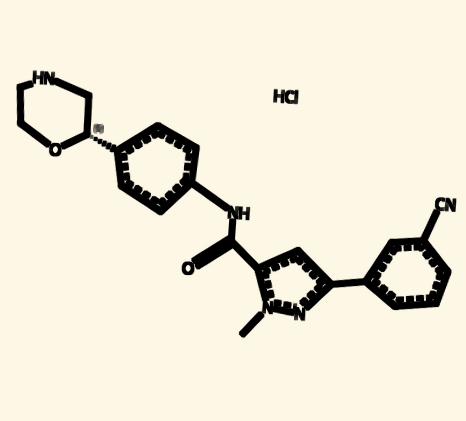 Cl.Cn1nc(-c2cccc(C#N)c2)cc1C(=O)Nc1ccc([C@H]2CNCCO2)cc1